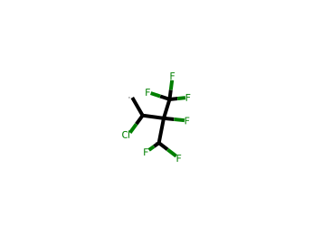 [CH2]C(Cl)C(F)([C](F)F)C(F)(F)F